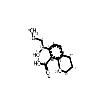 COCB(O)c1ccc2c(c1C(=O)O)OCCC2